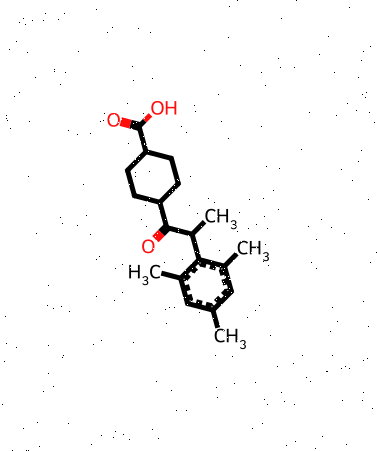 Cc1cc(C)c(C(C)C(=O)C2CCC(C(=O)O)CC2)c(C)c1